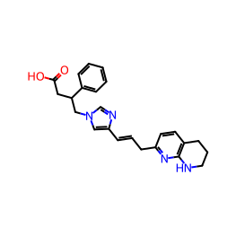 O=C(O)CC(Cn1cnc(C=CCc2ccc3c(n2)NCCC3)c1)c1ccccc1